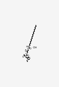 CCCCCCCCCCCCCCCCCCNC(=O)OCC(COC(=O)N(CC1=CSCN1CC)C(C)=O)OC.Cl